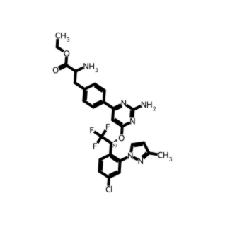 CCOC(=O)C(N)Cc1ccc(-c2cc(O[C@H](c3ccc(Cl)cc3-n3ccc(C)n3)C(F)(F)F)nc(N)n2)cc1